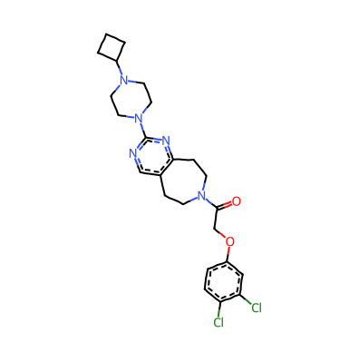 O=C(COc1ccc(Cl)c(Cl)c1)N1CCc2cnc(N3CCN(C4CCC4)CC3)nc2CC1